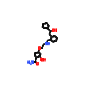 NC(=O)c1ccc(OCCNCc2ccccc2CC(O)c2ccccc2)cc1O